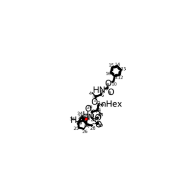 CCCCCC[C@@H](O[C@@H](C)CNC(=O)OCc1ccccc1)[C@@H](C)C(=O)N1[C@H]2C[C@@H]3CC[C@@]2(CS1(=O)=O)C3(C)C